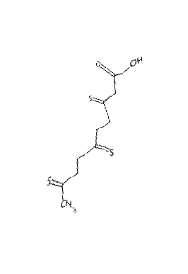 CC(=S)CCC(=S)CCC(=S)CC(=O)O